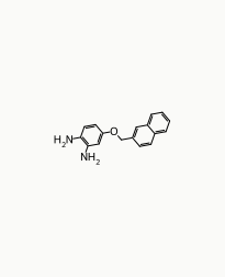 Nc1ccc(OCc2ccc3ccccc3c2)cc1N